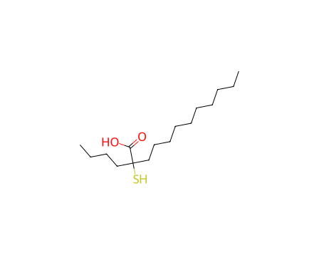 CCCCCCCCCCC(S)(CCCC)C(=O)O